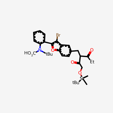 CCC(=O)C(Cc1ccc2oc(-c3ccccc3N(C(=O)O)C(C)(C)C)c(Br)c2c1)C(=O)CO[Si](C)(C)C(C)(C)C